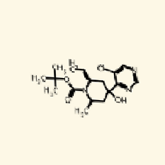 C/C=C1/CC(O)(c2ncncc2Cl)CC(C)N1C(=O)OC(C)(C)C